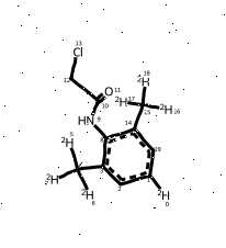 [2H]c1cc(C([2H])([2H])[2H])c(NC(=O)CCl)c(C([2H])([2H])[2H])c1